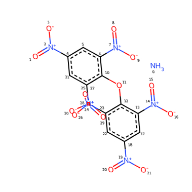 N.O=[N+]([O-])c1cc([N+](=O)[O-])c(Oc2c([N+](=O)[O-])cc([N+](=O)[O-])cc2[N+](=O)[O-])c([N+](=O)[O-])c1